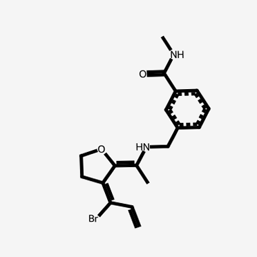 C=C/C(Br)=C1/CCO/C1=C(/C)NCc1cccc(C(=O)NC)c1